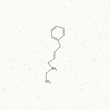 CC[SiH2]CC=CCc1ccccc1